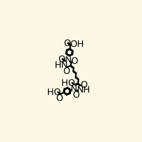 O=C1NC(=O)N(c2ccc(C(=O)O)cc2)C(=O)C1=CC=CC=Cc1c(O)n(-c2ccc(C(=O)O)cc2)c(=O)[nH]c1=O